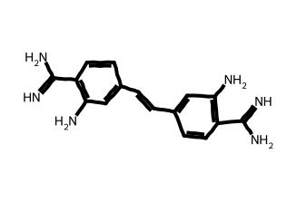 N=C(N)c1ccc(/C=C/c2ccc(C(=N)N)c(N)c2)cc1N